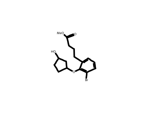 COC(=O)CCCc1cccc(Br)c1OC1CCC(O)C1